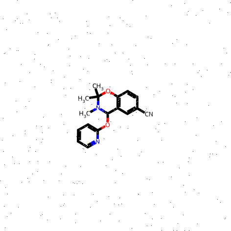 CN1C(Oc2ccccn2)c2cc(C#N)ccc2OC1(C)C